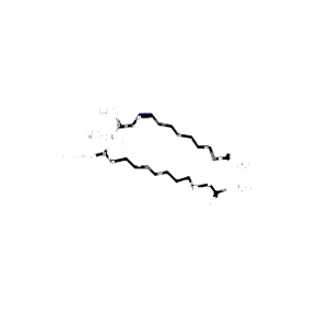 CCCCCCC(O)CCCCCCCCCCC(=O)OC.CCCCCC[C@@H](O)C/C=C\CCCCCCCC(=O)OC